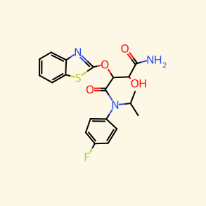 CC(C)N(C(=O)C(Oc1nc2ccccc2s1)C(O)C(N)=O)c1ccc(F)cc1